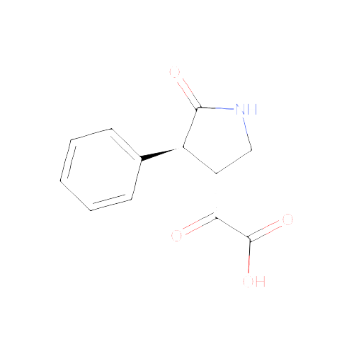 O=C(O)C(=O)[C@H]1CNC(=O)[C@@H]1c1ccccc1